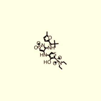 CCN(CC)S(=O)(=O)c1scc(NC2=CS(=O)(=O)N=C2N[C@@H](c2ccc(C)o2)C(C)(C)C)c1O